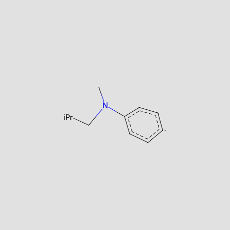 CC(C)CN(C)c1cc[c]cc1